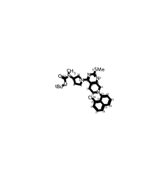 CSc1nc2c(c(N3CCC(N(C)C(=O)OC(C)(C)C)C3)n1)CCN(c1cccc3cccc(Cl)c13)C2